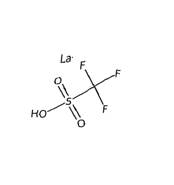 O=S(=O)(O)C(F)(F)F.[La]